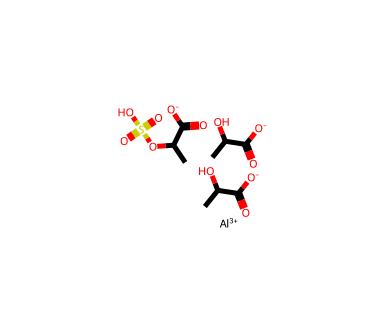 CC(O)C(=O)[O-].CC(O)C(=O)[O-].CC(OS(=O)(=O)O)C(=O)[O-].[Al+3]